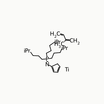 C=CC(=C)C.CC(C)CCCP(CCCC(C)C)(CCCC(C)C)=NC1=CC=CC1.[Ti]